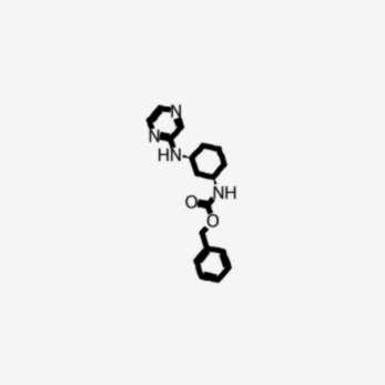 O=C(N[C@H]1CCC[C@@H](Nc2cnccn2)C1)OCc1ccccc1